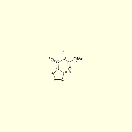 C=C(C(=O)OC)C(=O)C1CCCC1